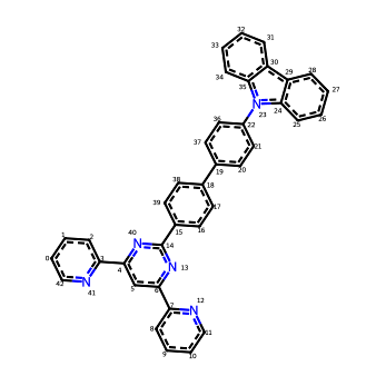 c1ccc(-c2cc(-c3ccccn3)nc(-c3ccc(-c4ccc(-n5c6ccccc6c6ccccc65)cc4)cc3)n2)nc1